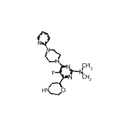 CN(C)c1nc(C2CNCCO2)c(F)c(N2CCN(c3ccccn3)CC2)n1